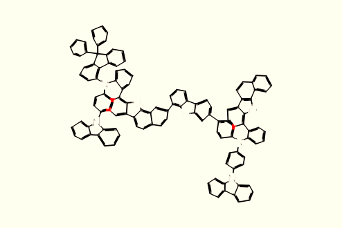 c1ccc(C2(c3ccccc3)c3ccccc3-c3c(N(c4ccc(-n5c6ccccc6c6ccccc65)cc4)c4ccccc4-c4cccc5c4oc4c6cc(-c7cccc8c7oc7cc(-c9ccc(N(c%10ccc(-n%11c%12ccccc%12c%12ccccc%12%11)cc%10)c%10ccccc%10-c%10cccc%11c%10oc%10c%12ccccc%12ccc%11%10)cc9)ccc78)ccc6ccc54)cccc32)cc1